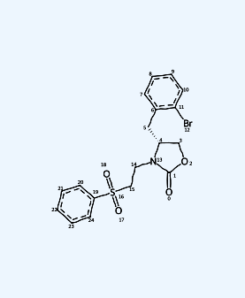 O=C1OC[C@@H](Cc2ccccc2Br)N1CCS(=O)(=O)c1ccccc1